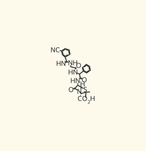 CC1(C)S[C@@H]2[C@H](NC(=O)C(NC(=O)CNC(=N)c3cccc(C#N)c3)c3ccccc3)C(=O)N2[C@H]1C(=O)O